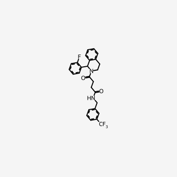 O=C(CCC(=O)N1CCc2ccccc2C1c1ccccc1F)NCc1cccc(C(F)(F)F)c1